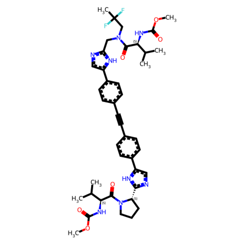 COC(=O)N[C@H](C(=O)N(Cc1ncc(-c2ccc(C#Cc3ccc(-c4cnc([C@@H]5CCCN5C(=O)[C@@H](NC(=O)OC)C(C)C)[nH]4)cc3)cc2)[nH]1)CC(C)(F)F)C(C)C